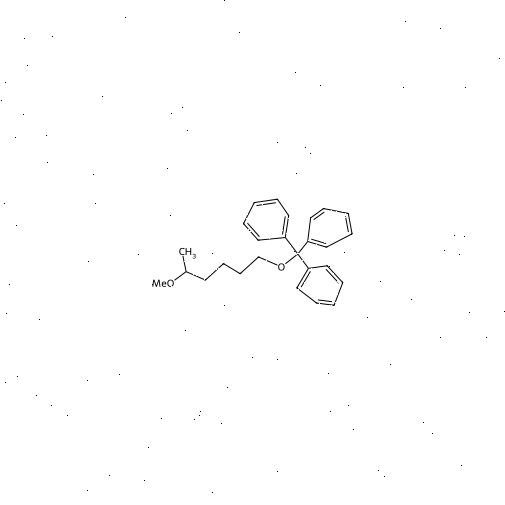 COC(C)CCCCOC(c1ccccc1)(c1ccccc1)c1ccccc1